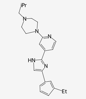 CCc1cccc(-c2c[nH]c(-c3ccnc(N4CCN(CC(C)C)CC4)c3)n2)c1